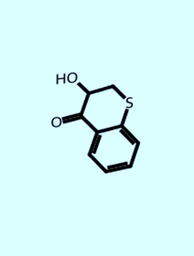 O=C1c2ccccc2SCC1O